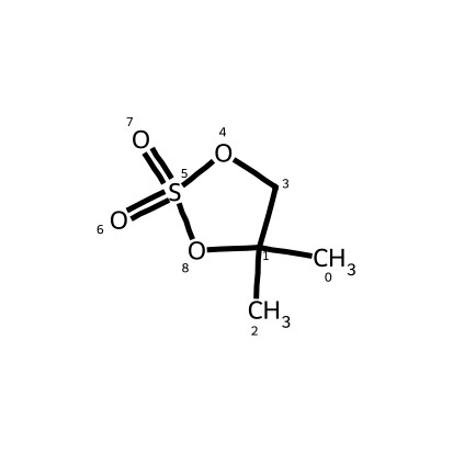 CC1(C)COS(=O)(=O)O1